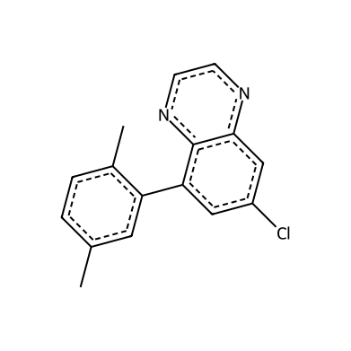 Cc1ccc(C)c(-c2cc(Cl)cc3nccnc23)c1